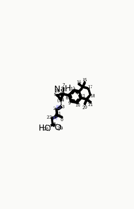 CC(/C=C/[C@@H]1C[C@]1(C)c1ccc2c(c1)C(C)(C)CCC2(C)C)=C\C(=O)O.[NaH]